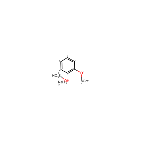 CCCCCCCCOc1ccccc1.O=S(=O)(O)O.[NaH]